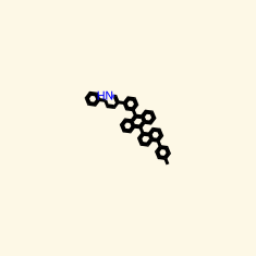 Cc1ccc(-c2cccc3c(-c4c5ccccc5c(-c5cccc(C6=CNC(c7ccccc7)C=C6)c5)c5ccccc45)cccc23)cc1